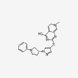 CN1C=c2nc(Oc3cnn([C@H]4CCN(c5ccccc5)C4)c3)nc(O)c2=CC1